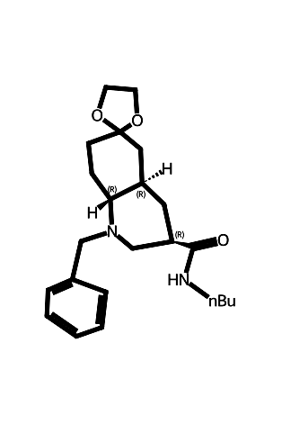 CCCCNC(=O)[C@@H]1C[C@@H]2CC3(CC[C@H]2N(Cc2ccccc2)C1)OCCO3